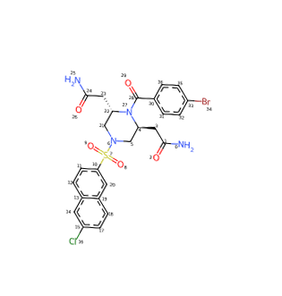 NC(=O)C[C@H]1CN(S(=O)(=O)c2ccc3cc(Cl)ccc3c2)C[C@H](CC(N)=O)N1C(=O)c1ccc(Br)cc1